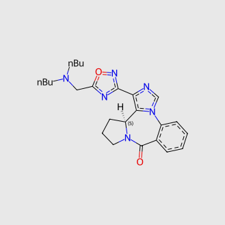 CCCCN(CCCC)Cc1nc(-c2ncn3c2[C@@H]2CCCN2C(=O)c2ccccc2-3)no1